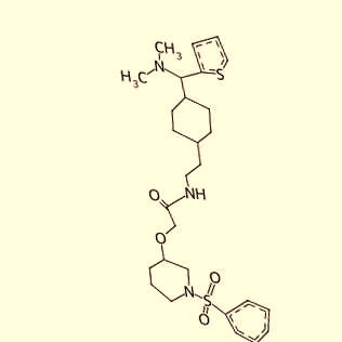 CN(C)C(c1cccs1)C1CCC(CCNC(=O)COC2CCCN(S(=O)(=O)c3ccccc3)C2)CC1